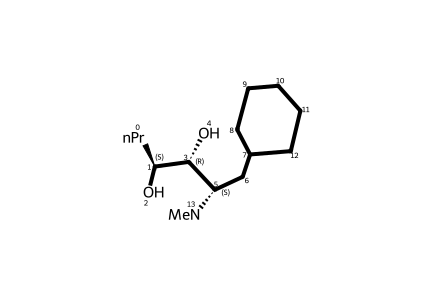 CCC[C@H](O)[C@H](O)[C@H](CC1CCCCC1)NC